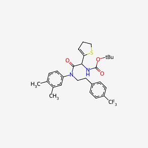 Cc1ccc(N(CCc2ccc(C(F)(F)F)cc2)C(=O)C(NC(=O)OC(C)(C)C)C2=CCCS2)cc1C